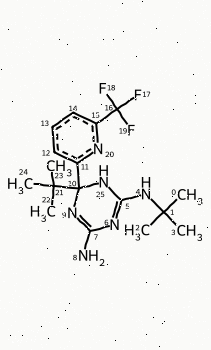 CC(C)(C)NC1=NC(N)=NC(c2cccc(C(F)(F)F)n2)(C(C)(C)C)N1